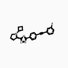 Fc1cccc(C#Cc2ccc(-c3noc(C4CCCN4C4CCC4)n3)cc2)c1